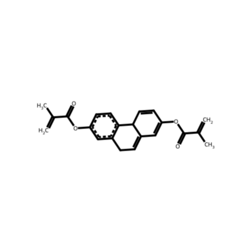 C=C(C)C(=O)OC1=CC2=CCc3cc(OC(=O)C(=C)C)ccc3C2C=C1